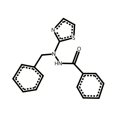 O=C(NN(Cc1ccccc1)c1nccs1)c1ccccc1